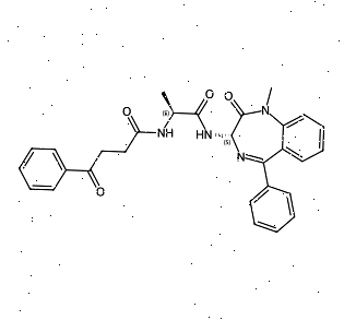 C[C@H](NC(=O)CCC(=O)c1ccccc1)C(=O)N[C@H]1N=C(c2ccccc2)c2ccccc2N(C)C1=O